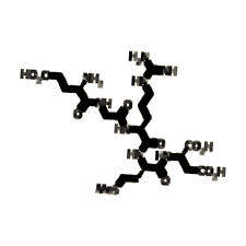 CSCC[C@H](NC(=O)[C@H](CCCNC(=N)N)NC(=O)CNC(=O)[C@@H](N)CCC(=O)O)C(=O)N[C@@H](CC(=O)O)C(=O)O